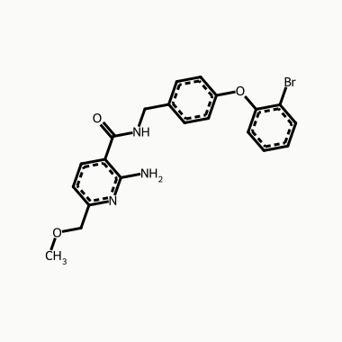 COCc1ccc(C(=O)NCc2ccc(Oc3ccccc3Br)cc2)c(N)n1